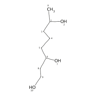 CC(O)CCCC(O)CCO